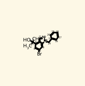 CC(C)(O)c1cc(Br)cc2c1cnn2Cc1ccccc1